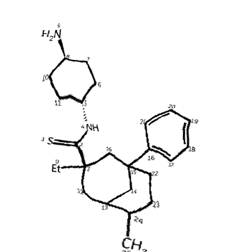 CCC1(C(=S)N[C@H]2CC[C@H](N)CC2)CC2CC(c3ccccc3)(CCC2C)C1